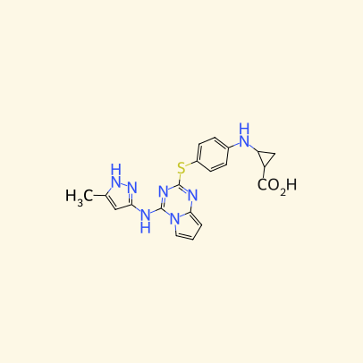 Cc1cc(Nc2nc(Sc3ccc(NC4CC4C(=O)O)cc3)nc3cccn23)n[nH]1